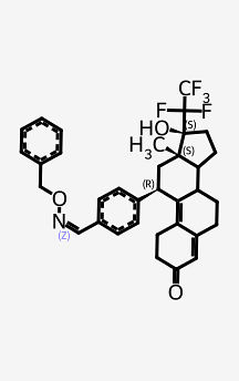 C[C@]12C[C@H](c3ccc(/C=N\OCc4ccccc4)cc3)C3=C4CCC(=O)C=C4CCC3C1CC[C@@]2(O)C(F)(F)C(F)(F)F